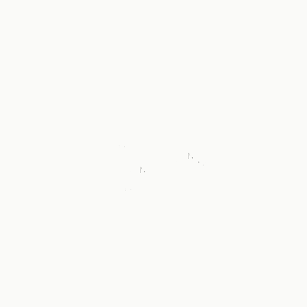 CC(=O)N(c1ccccc1)C1CC(C)N(C(=O)c2ccco2)C2=C1CCCC2